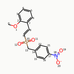 COc1ccccc1/C=C/S(=O)(=O)Cc1ccc([N+](=O)[O-])cc1